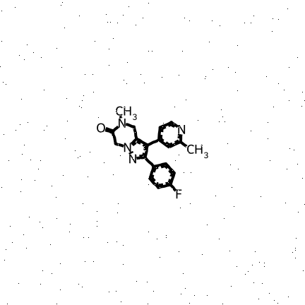 Cc1cc(-c2c(-c3ccc(F)cc3)nn3c2CN(C)C(=O)C3)ccn1